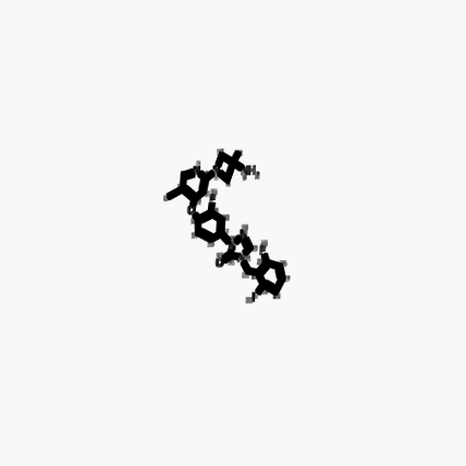 Cc1cnc(N2CC(C)(N)C2)cc1Oc1ccc(-n2ncn(Cc3c(F)cccc3F)c2=O)cc1F